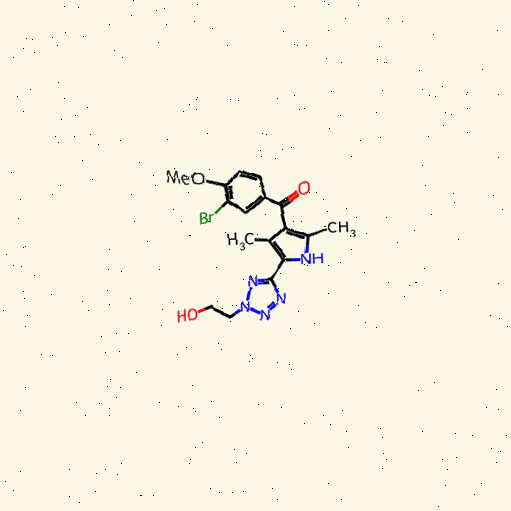 COc1ccc(C(=O)c2c(C)[nH]c(-c3nnn(CCO)n3)c2C)cc1Br